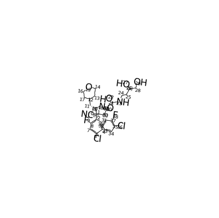 N#C[C@]1(c2ccc(Cl)cc2F)[C@H](CC2CCOCC2)N[C@H](OC(=O)NCC[C@H](O)CO)[C@@H]1c1cccc(Cl)c1F